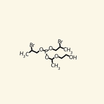 CC(Br)COP(OCC(C)Br)OC(C)OCCO